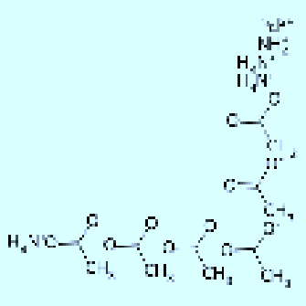 CC(=O)[O-].CC(=O)[O-].CC(=O)[O-].CC(=O)[O-].CC(=O)[O-].CC(=O)[O-].[NH4+].[NH4+].[NH4+].[NH4+].[Pd+2]